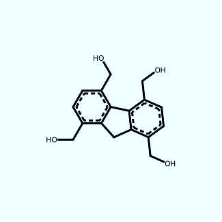 OCc1ccc(CO)c2c1Cc1c(CO)ccc(CO)c1-2